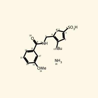 CCCCc1cc(S(=O)(=O)O)sc1CNC(=O)c1cccc(OC)c1.N